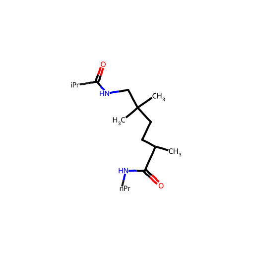 CCCNC(=O)C(C)CCC(C)(C)CNC(=O)C(C)C